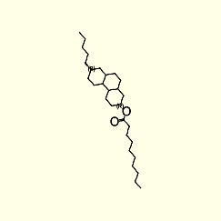 CCCCCCCCCC(=O)O[C@@H]1CCC2C(CCC3C[C@H](CCCCC)CCC32)C1